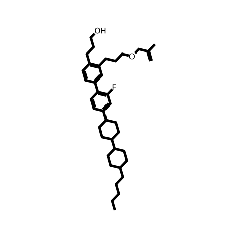 C=C(C)COCCCc1cc(-c2ccc(C3CCC(C4CCC(CCCCC)CC4)CC3)cc2F)ccc1CCCO